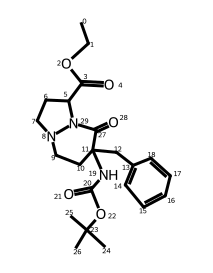 CCOC(=O)C1CCN2CCC(Cc3ccccc3)(NC(=O)OC(C)(C)C)C(=O)N12